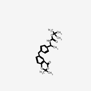 CC(NC(=O)OC(C)(C)C)c1ccc(Cc2ccc3c(c2)C(=O)OC(C)(C)O3)cc1